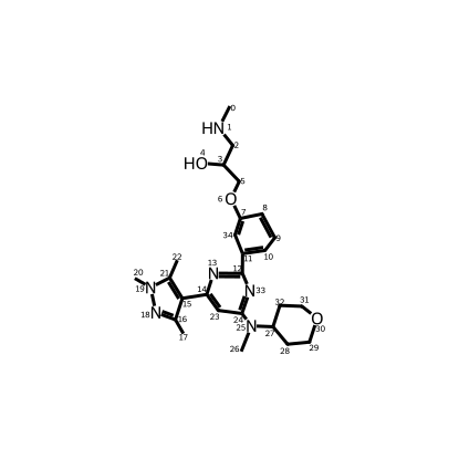 CNCC(O)COc1cccc(-c2nc(-c3c(C)nn(C)c3C)cc(N(C)C3CCOCC3)n2)c1